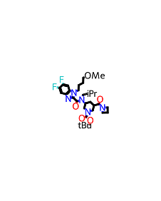 COCCCCn1c(C(=O)N(CC(C)C)[C@H]2CC(C(=O)N3CCC3)CN(C(=O)OC(C)(C)C)C2)nc2cc(F)c(F)cc21